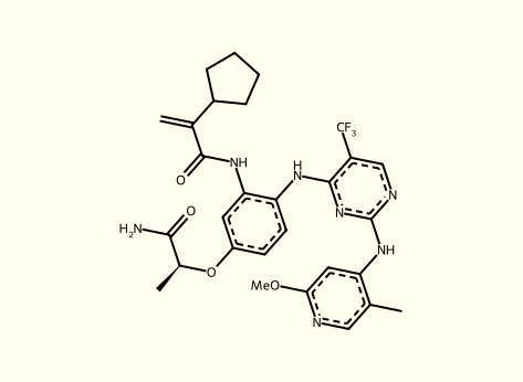 C=C(C(=O)Nc1cc(O[C@@H](C)C(N)=O)ccc1Nc1nc(Nc2cc(OC)ncc2C)ncc1C(F)(F)F)C1CCCC1